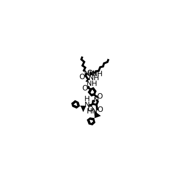 CCCCCCCNC(=O)N[C@@H](CNC(=O)c1ccc(C(=O)N2CC(C(=O)N[C@H]3C[C@@H]3c3ccccc3)C(C(=O)N[C@H]3C[C@@H]3c3ccccc3)C2)cc1)C(=O)NCCCCCC